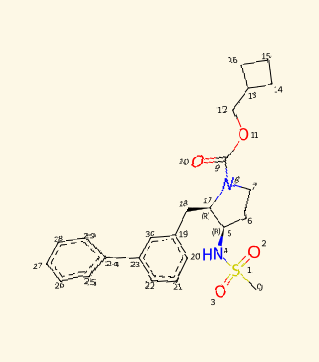 CS(=O)(=O)N[C@@H]1CCN(C(=O)OCC2CCC2)[C@@H]1Cc1cccc(-c2ccccc2)c1